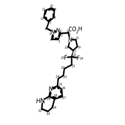 O=C(O)C(c1ccn(Cc2ccccc2)n1)N1CC[C@@H](C(F)(F)CCCCc2ccc3c(n2)NCCC3)C1